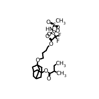 CCC(C)C(=O)OC12CC3CC(CC(OCCCCOC(=O)C(F)(F)S(=O)(=O)NS(C)(=O)=O)(C3)C1)C2